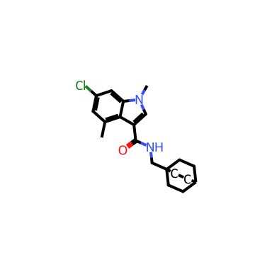 Cc1cc(Cl)cc2c1c(C(=O)NCC13CCC(CC1)CC3)cn2C